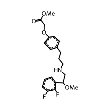 COC(=O)COc1ccc(CCCNCC(OC)c2cccc(F)c2F)cc1